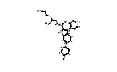 NCCCC(N)CNC(=O)c1[nH]c2cc(-c3ccc(F)cc3)ccc2c1-c1ccncc1